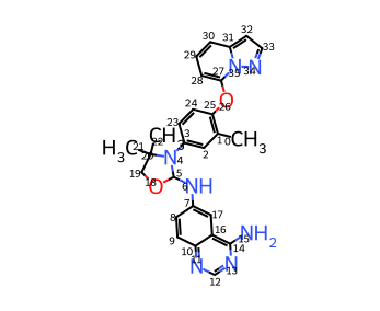 Cc1cc(N2C(Nc3ccc4ncnc(N)c4c3)OCC2(C)C)ccc1Oc1cccc2ccnn12